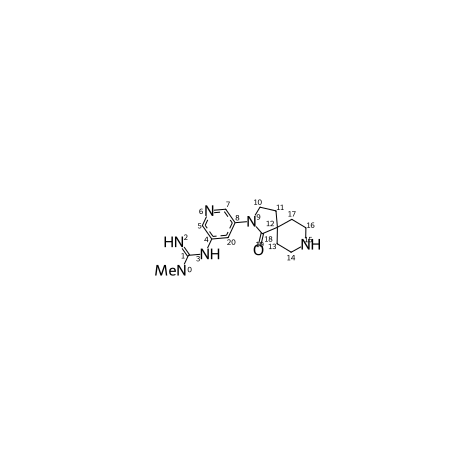 CNC(=N)Nc1cncc(N2CCC3(CCNCC3)C2=O)c1